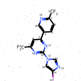 FC(F)(F)c1ccc(-c2cc(C(F)(F)F)nc(-n3cnc(I)c3)n2)cn1